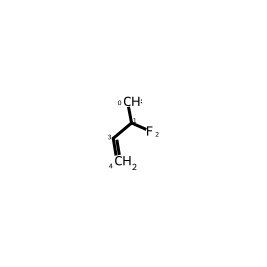 [CH]C(F)C=C